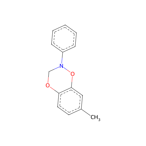 Cc1ccc2c(c1)ON(c1ccccc1)CO2